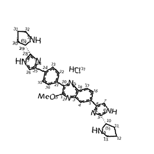 COc1nc2cc(-c3c[nH]c([C@@H]4CCCN4)n3)ccc2nc1-c1ccc(-c2c[nH]c([C@@H]3CCCN3)n2)cc1.Cl